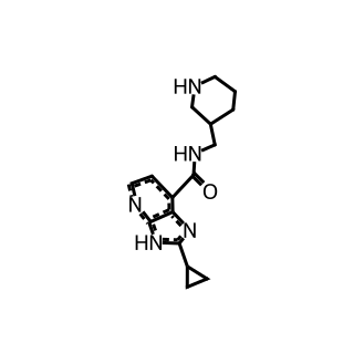 O=C(NCC1CCCNC1)c1ccnc2[nH]c(C3CC3)nc12